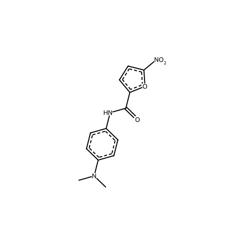 CN(C)c1ccc(NC(=O)c2ccc([N+](=O)[O-])o2)cc1